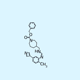 Cc1ccc(C2=CN=C2)cc1/N=C\NCC1CCCN(C(=O)OCc2ccccc2)CC1